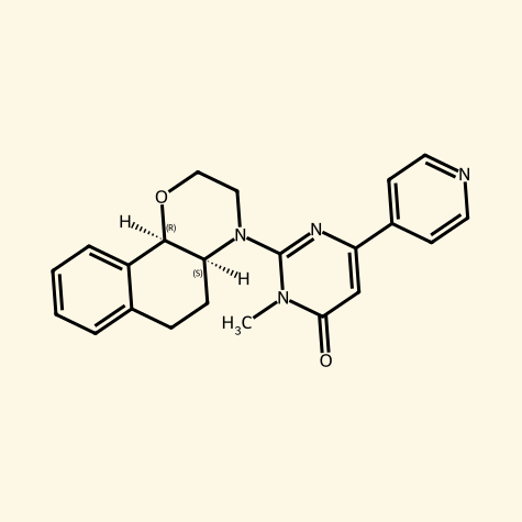 Cn1c(N2CCO[C@@H]3c4ccccc4CC[C@@H]32)nc(-c2ccncc2)cc1=O